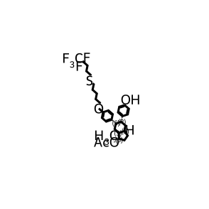 CC(=O)O[C@H]1CC[C@H]2C[C@@H](c3ccc(O)cc3)[C@@H](c3ccc(OCCCCCSCCCC(F)(F)C(F)(F)F)cc3)C[C@@]21C